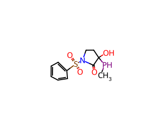 CPC1(O)CCN(S(=O)(=O)c2ccccc2)C1=O